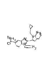 Cn1c(-c2cc3cccnc3n2CC2CC2)nc2cc(C(N)=O)ccc21